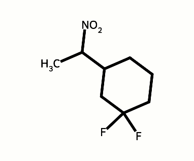 CC(C1CCCC(F)(F)C1)[N+](=O)[O-]